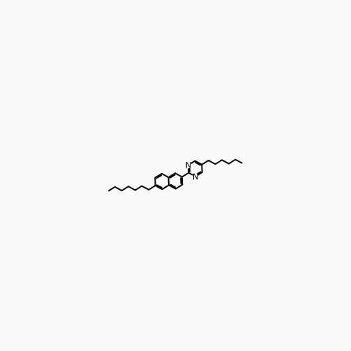 CCCCCCCc1ccc2cc(-c3ncc(CCCCCC)cn3)ccc2c1